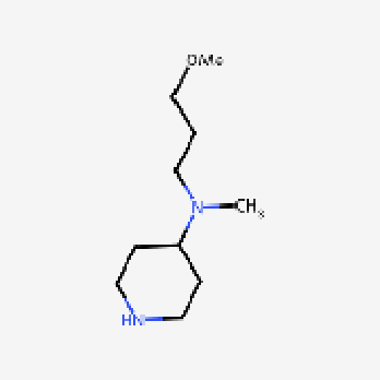 COCCCN(C)C1CCNCC1